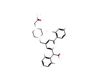 Cc1cc(F)ccc1-c1cc(CN2CCN(CC(N)=O)CC2)cc(C(C(N)=O)c2c(Cl)cccc2Cl)n1